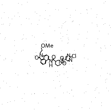 COCCCN1C(=O)c2cccc3c(NC(=O)C4CCCN(S(=O)(=O)c5cnc(Cl)nc5)C4)ccc1c23